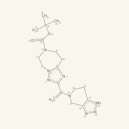 C=C(c1nc2n(n1)CCN(C(=O)OC(C)(C)C)CC2)N1CCc2[nH]nnc2C1